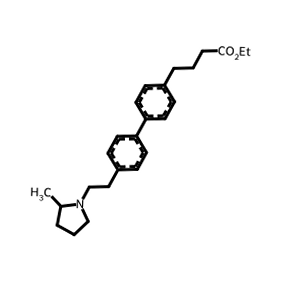 CCOC(=O)CCCc1ccc(-c2ccc(CCN3CCCC3C)cc2)cc1